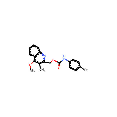 CCCCOc1c(C)c(COC(=O)Nc2ccc(C(C)C)cc2)nc2ccccc12